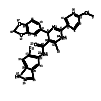 COc1ccc(C2=NC(c3ccc4c(c3)OCO4)C(C(=O)Nc3cc4cn[nH]c4cc3F)=C(C)N2)cn1